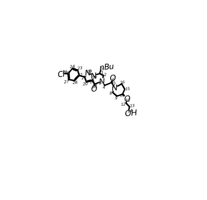 CCCCC1CN(CC(=O)N2CCC(OCCO)CC2)C(=O)c2cc(-c3ccc(Cl)cc3)nn21